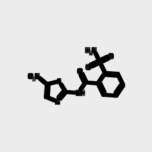 NS(=O)(=O)c1ccccc1C(=O)Nc1ncc([N+](=O)[O-])s1